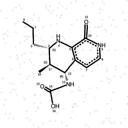 CCC[C@@H]1Nc2c(cc[nH]c2=O)[C@H](NC(=O)O)[C@H]1C